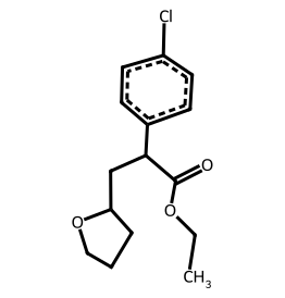 CCOC(=O)C(CC1CCCO1)c1ccc(Cl)cc1